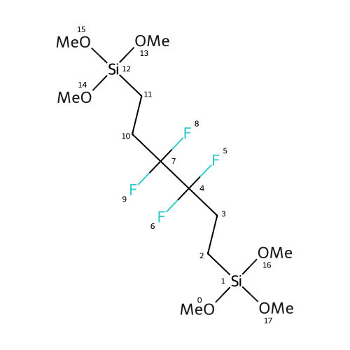 CO[Si](CCC(F)(F)C(F)(F)CC[Si](OC)(OC)OC)(OC)OC